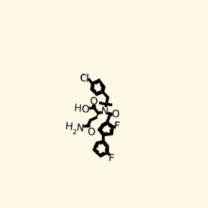 CC(C)(Cc1ccc(Cl)cc1)N(C(=O)c1ccc(-c2cccc(F)c2)cc1F)[C@@H](CCC(N)=O)C(=O)O